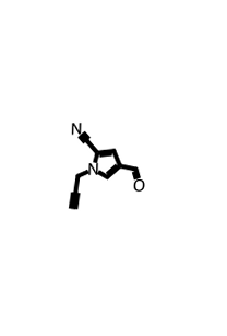 C#CCn1cc(C=O)cc1C#N